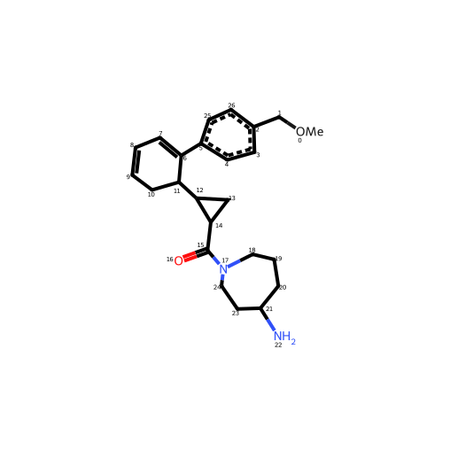 COCc1ccc(C2=CC=CCC2C2CC2C(=O)N2CCCC(N)CC2)cc1